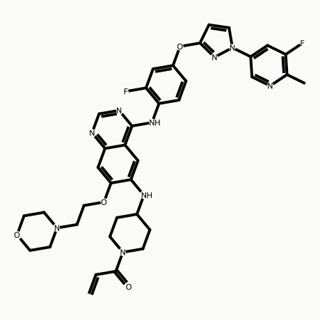 C=CC(=O)N1CCC(Nc2cc3c(Nc4ccc(Oc5ccn(-c6cnc(C)c(F)c6)n5)cc4F)ncnc3cc2OCCN2CCOCC2)CC1